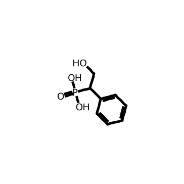 O=P(O)(O)C(CO)c1ccccc1